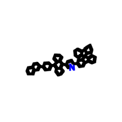 c1ccc2c(c1)-c1ccccc1C21c2ccccc2-c2ccc(-c3ccc(-c4c5ccccc5c(-c5ccc(-c6ccc7ccccc7c6)cc5)c5ccccc45)cn3)cc21